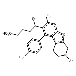 CCC(CCCC(=O)O)c1c(C)nc2sc3c(c2c1-c1ccc(C)cc1)CCN(C(C)=O)C3